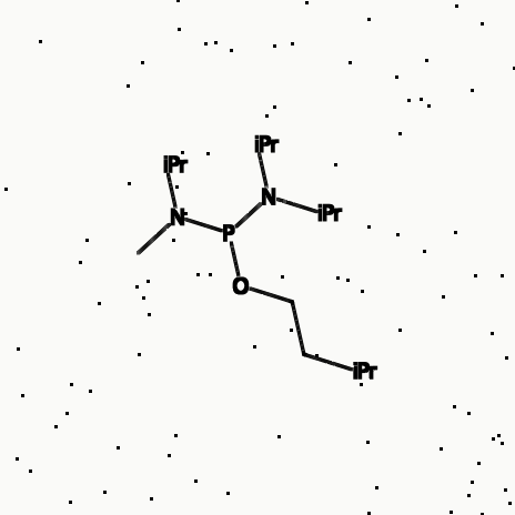 CC(C)CCOP(N(C)C(C)C)N(C(C)C)C(C)C